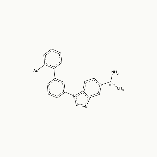 CC(=O)c1ccccc1-c1cccc(-n2cnc3cc([C@@H](C)N)ccc32)c1